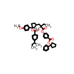 CCC(C)c1ccc(C(=O)OC2(c3ccc(OC)cc3)CCC(CC(C)(CC)C(=O)Oc3ccc(C(=O)OC4(c5ccccc5)CCCC4)cc3)C2)cc1